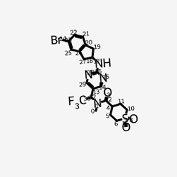 CN(C(=O)C1CCS(=O)(=O)CC1)C(c1cnc(NC2Cc3ccc(Br)cc3C2)nc1)C(F)(F)F